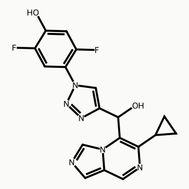 Oc1cc(F)c(-n2cc(C(O)c3c(C4CC4)ncc4cncn34)nn2)cc1F